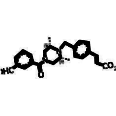 C[C@@H]1CN(C(=O)c2cccc(C=O)c2)C[C@H](C)N1Cc1ccc(C=CC(=O)O)cc1